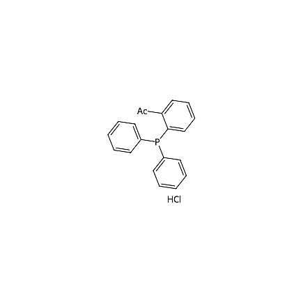 CC(=O)c1ccccc1P(c1ccccc1)c1ccccc1.Cl